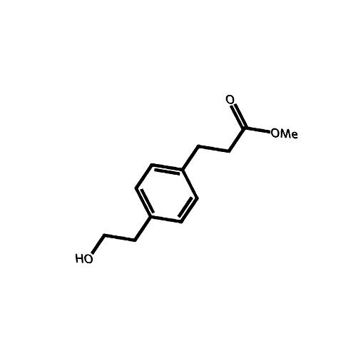 COC(=O)CCc1ccc(CCO)cc1